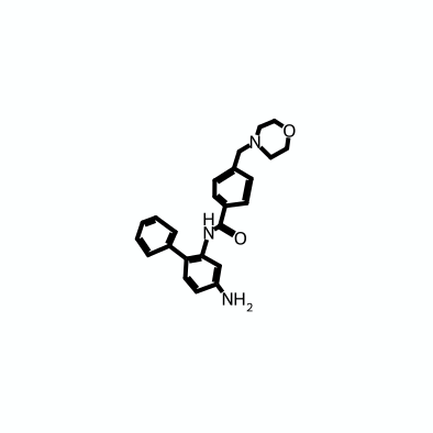 Nc1ccc(-c2ccccc2)c(NC(=O)c2ccc(CN3CCOCC3)cc2)c1